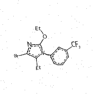 CCOc1nc(Br)c(CC)n1-c1cccc(C(F)(F)F)c1